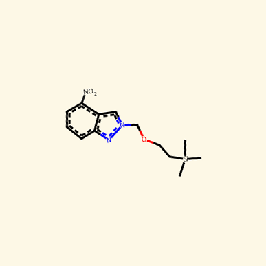 C[Si](C)(C)CCOCn1cc2c([N+](=O)[O-])cccc2n1